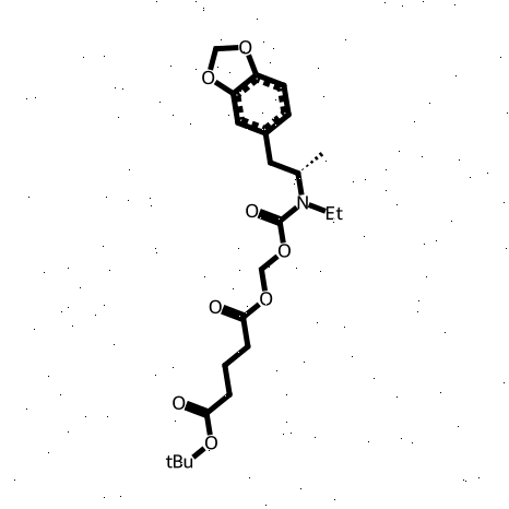 CCN(C(=O)OCOC(=O)CCCC(=O)OC(C)(C)C)[C@@H](C)Cc1ccc2c(c1)OCO2